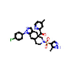 Cc1ccnc(C(=O)C23Cc4cnn(-c5ccc(F)cc5)c4C=C2CCN(S(=O)(=O)c2cn[nH]c2C)C3)c1